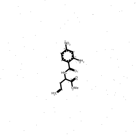 C=CCC(NC(=O)c1ccc([N+](=O)[O-])cc1N)C(=O)OC